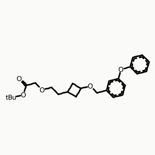 CC(C)(C)OC(=O)COCCC1CC(OCc2cccc(Oc3ccccc3)c2)C1